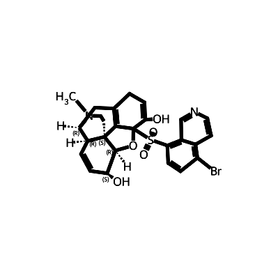 CN1CC[C@]23C4=C5CC=C(O)C4(S(=O)(=O)c4ccc(Br)c6ccncc46)O[C@H]2[C@@H](O)C=C[C@H]3[C@H]1C5